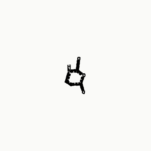 O=c1cc[nH]c(=O)o1